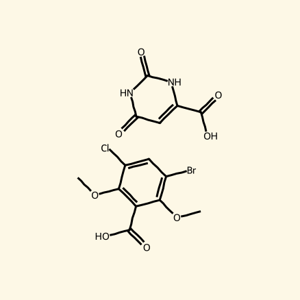 COc1c(Cl)cc(Br)c(OC)c1C(=O)O.O=C(O)c1cc(=O)[nH]c(=O)[nH]1